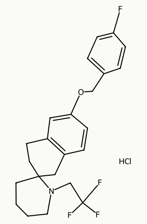 Cl.Fc1ccc(COc2ccc3c(c2)CCC2(CCCCN2CC(F)(F)F)C3)cc1